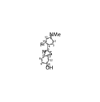 CNc1ccc(-c2nc3ccc(O)cc3s2)c(F)c1